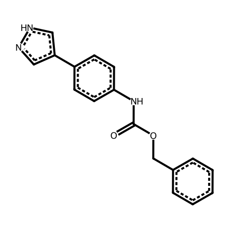 O=C(Nc1ccc(-c2cn[nH]c2)cc1)OCc1ccccc1